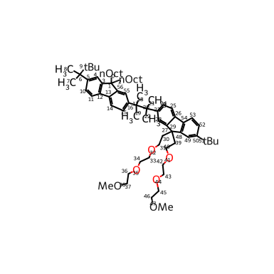 CCCCCCCCC1(CCCCCCCC)c2cc(C(C)(C)C(C)(C)C)ccc2-c2ccc(C(C)(C)C(C)(C)c3ccc4c(c3)C(CCOCCOCCOC)(CCOCCOCCOC)c3cc(C(C)(C)C)ccc3-4)cc21